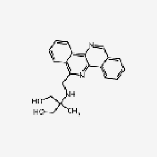 CC(CO)(CO)NCc1nc2c3ccccc3cnc2c2ccccc12